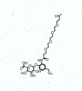 CNCCOCCOCCOCCOCCC(=O)Nc1cc(COC)ccc1O[C@@H]1O[C@H](C(=O)O)[C@@H](O)[C@H](O)[C@H]1O